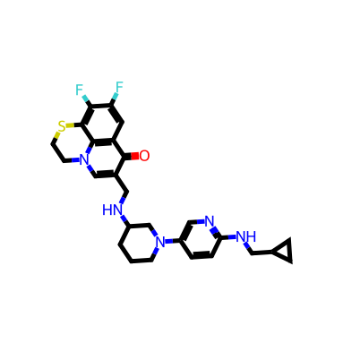 O=c1c(CNC2CCCN(c3ccc(NCC4CC4)nc3)C2)cn2c3c(c(F)c(F)cc13)SCC2